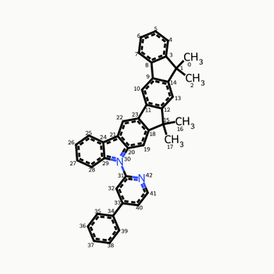 CC1(C)c2ccccc2-c2cc3c(cc21)C(C)(C)c1cc2c(cc1-3)c1ccccc1n2-c1cc(-c2ccccc2)ccn1